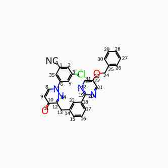 N#Cc1cc(Cl)cc(-n2ccc(=O)c(Cc3cccc(-c4ncc(OCc5ccccc5)cn4)c3)n2)c1